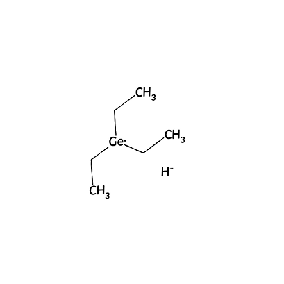 C[CH2][Ge]([CH2]C)[CH2]C.[H-]